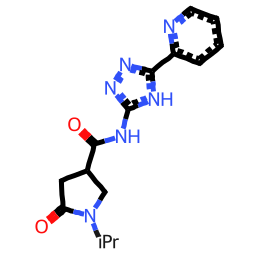 CC(C)N1CC(C(=O)Nc2nnc(-c3ccccn3)[nH]2)CC1=O